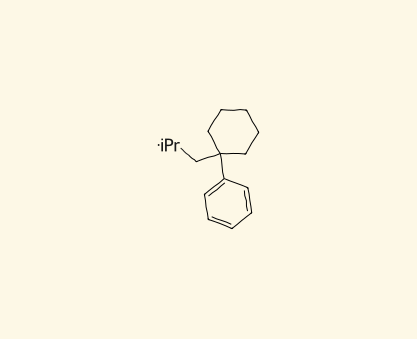 C[C](C)CC1(c2ccccc2)CCCCC1